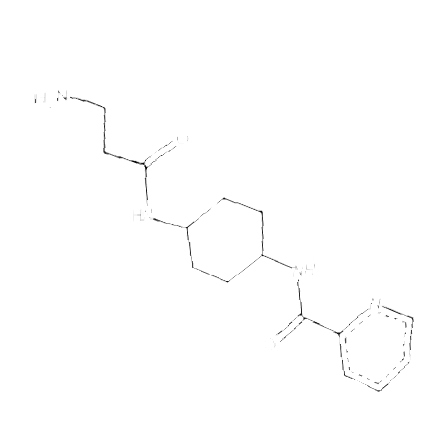 NCCC(=O)NC1CCC(NC(=O)c2ccccn2)CC1